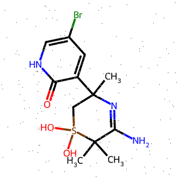 CC1(c2cc(Br)c[nH]c2=O)CS(O)(O)C(C)(C)C(N)=N1